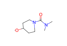 CN(C)C(=O)N1CCC([O])CC1